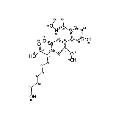 COc1cn(C(CCCCCCO)C(=O)O)c(=O)cc1-c1cc(Cl)ccc1C1=NOCC1